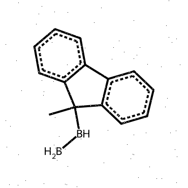 BBC1(C)c2ccccc2-c2ccccc21